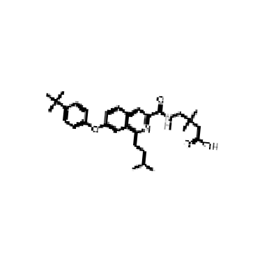 CC(C)CCc1nc(C(=O)NCC(C)(C)CC(=O)O)cc2ccc(Oc3ccc(C(C)(C)C)cc3)cc12